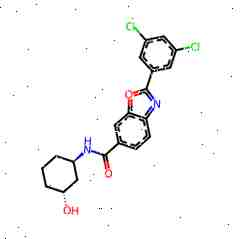 O=C(N[C@@H]1CCC[C@@H](O)C1)c1ccc2nc(-c3cc(Cl)cc(Cl)c3)oc2c1